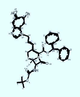 CC(C)(C)OC(=O)NC1C(=O)N2C(C(=O)OC(c3ccccc3)c3ccccc3)=C(/C=C/Cn3cnc4cc(O)c(O)cc43)CS[C@@H]12